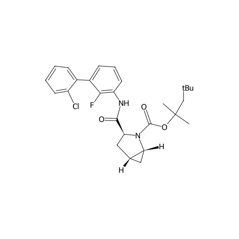 CC(C)(C)CC(C)(C)OC(=O)N1[C@@H]2C[C@@H]2C[C@H]1C(=O)Nc1cccc(-c2ccccc2Cl)c1F